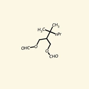 CCCC(C)(C)C(COC=O)COC=O